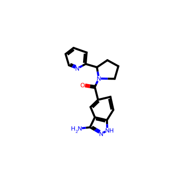 Nc1n[nH]c2ccc(C(=O)N3CCCC3c3ccccn3)cc12